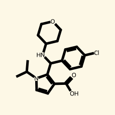 CC(C)n1ccc(C(=O)O)c1C(NC1CCOCC1)c1ccc(Cl)cc1